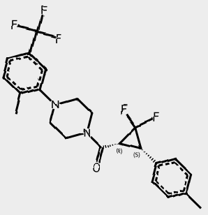 Cc1ccc([C@@H]2[C@H](C(=O)N3CCN(c4cc(C(F)(F)F)ccc4C)CC3)C2(F)F)cc1